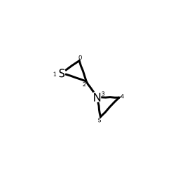 C1SC1N1CC1